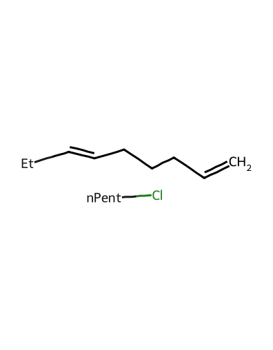 C=CCCCC=CCC.CCCCCCl